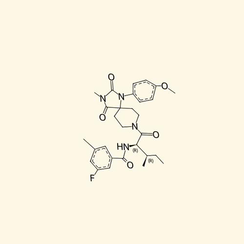 CC[C@@H](C)[C@@H](NC(=O)c1cc(C)cc(F)c1)C(=O)N1CCC2(CC1)C(=O)N(C)C(=O)N2c1ccc(OC)cc1